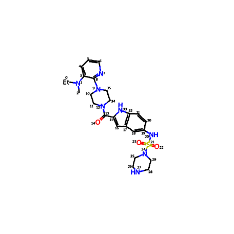 CCN(C)c1cccnc1N1CCN(C(=O)c2cc3cc(NS(=O)(=O)N4CCNCC4)ccc3[nH]2)CC1